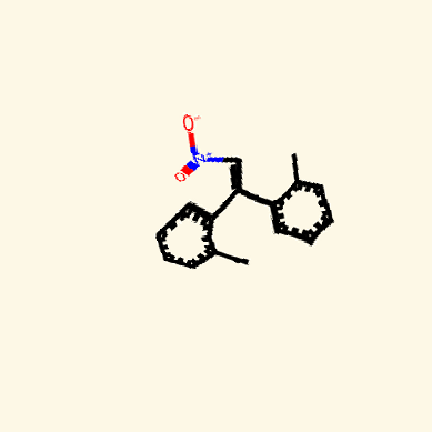 Cc1ccccc1C(=C[N+](=O)[O-])c1ccccc1C